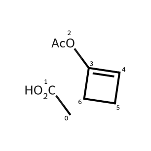 CC(=O)O.CC(=O)OC1=CCC1